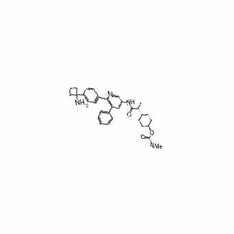 CNC(=O)O[C@H]1CC[C@H](C(C)C(=O)Nc2cnc(-c3ccc(C4(N)CCC4)cc3)c(-c3ccccc3)c2)CC1